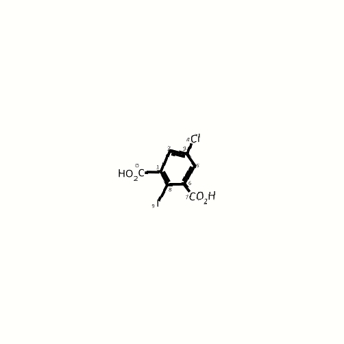 O=C(O)c1cc(Cl)cc(C(=O)O)c1I